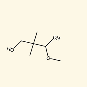 COC(O)C(C)(C)CO